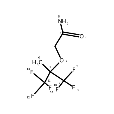 CC(OCC(N)=O)(C(F)(F)F)C(F)(F)F